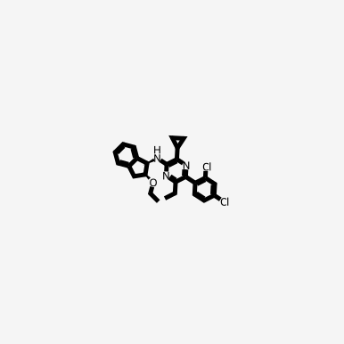 CCO[C@H]1Cc2ccccc2[C@H]1Nc1nc(CC)c(-c2ccc(Cl)cc2Cl)nc1C1CC1